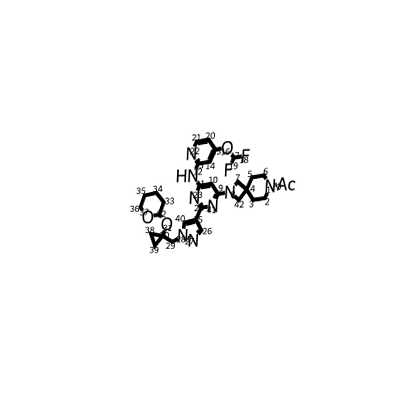 CC(=O)N1CCC2(CC1)CN(c1cc(Nc3cc(OC(F)F)ccn3)nc(-c3cnn(CC4(OC5CCCCO5)CC4)c3)n1)C2